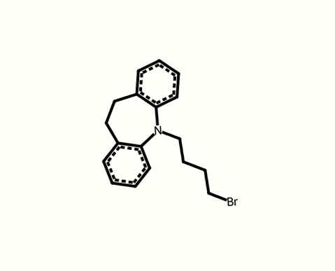 BrCCCCN1c2ccccc2CCc2ccccc21